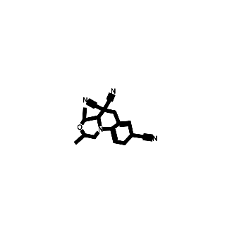 CC1CN2C3=CCC(C#N)C=C3CC(C#N)(C#N)C2C(C)O1